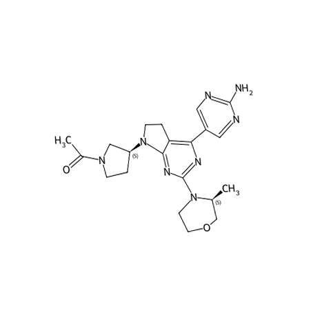 CC(=O)N1CC[C@H](N2CCc3c(-c4cnc(N)nc4)nc(N4CCOC[C@@H]4C)nc32)C1